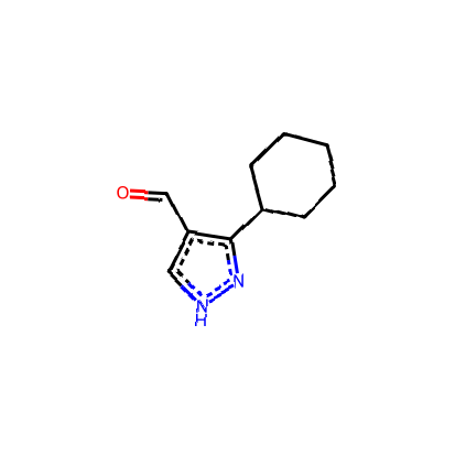 O=Cc1c[nH]nc1C1CCCCC1